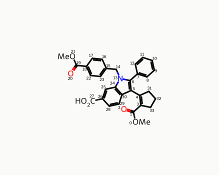 COC(=O)C1=C(c2c(-c3ccccc3)n(Cc3ccc(C(=O)OC)cc3)c3cc(C(=O)O)ccc23)CCC1